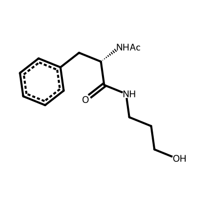 CC(=O)N[C@@H](Cc1ccccc1)C(=O)NCCCO